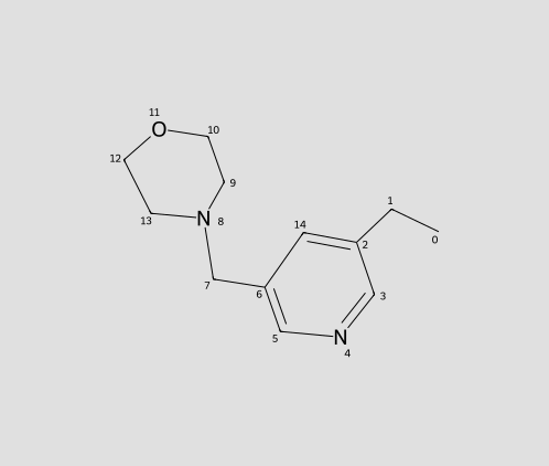 CCc1cncc(CN2CCOCC2)c1